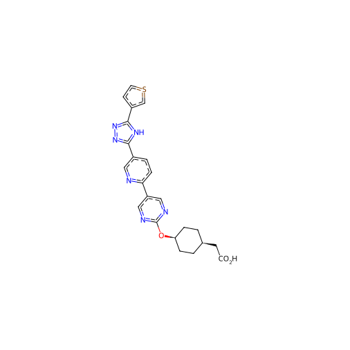 O=C(O)C[C@H]1CC[C@@H](Oc2ncc(-c3ccc(-c4nnc(-c5ccsc5)[nH]4)cn3)cn2)CC1